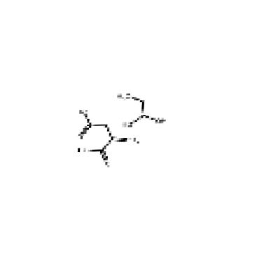 C=C(CC(=O)O)C(=O)O.CCC(O)O